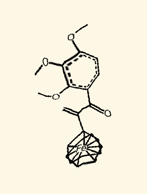 C=C(C(=O)c1ccc(OC)c(OC)c1OC)[C]12[CH]3[CH]4[CH]5[CH]1[Fe]45321678[CH]2[CH]1[CH]6[CH]7[CH]28